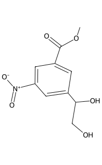 COC(=O)c1cc(C(O)CO)cc([N+](=O)[O-])c1